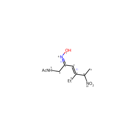 CC/C(=C\C(CNC(C)=O)=N/O)C(C)[N+](=O)[O-]